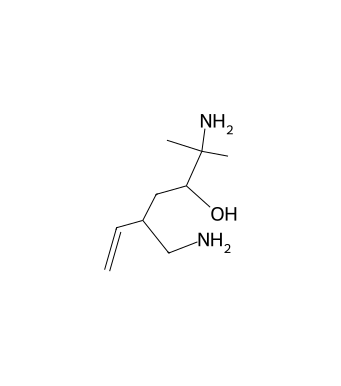 C=CC(CN)CC(O)C(C)(C)N